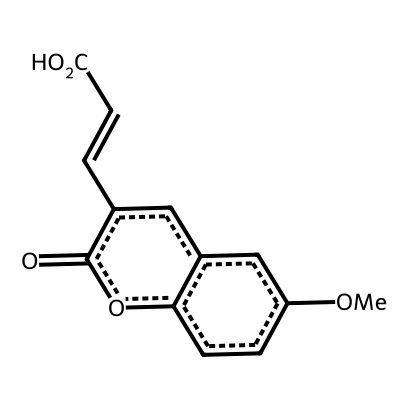 COc1ccc2oc(=O)c(C=CC(=O)O)cc2c1